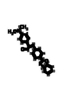 CN(C)c1ccc(/C(C=O)=C/c2ccc(-c3nc4ccccc4o3)cc2)cc1